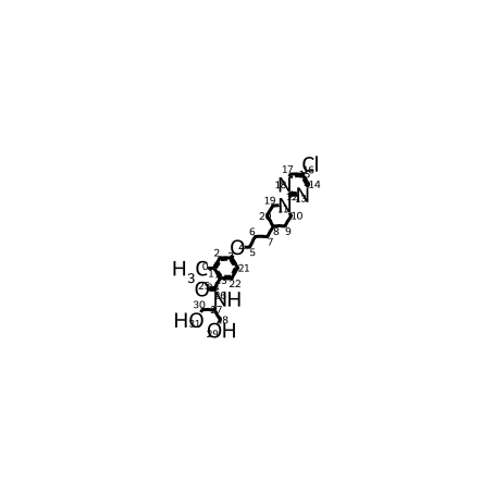 Cc1cc(OCCCC2CCN(c3ncc(Cl)cn3)CC2)ccc1C(=O)NC(CO)CO